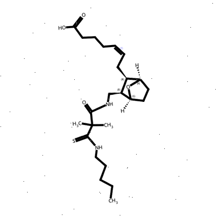 CCCCCNC(=S)C(C)(C)C(=O)NC[C@H]1[C@@H](C/C=C\CCCC(=O)O)[C@H]2CC[C@@H]1O2